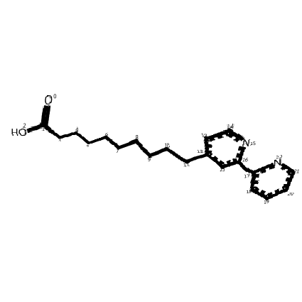 O=C(O)CCCCCCCCCc1ccnc(-c2ccccn2)c1